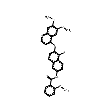 COc1cc2nccc(Oc3ccc4cc(NC(=O)c5ccccc5OC)ccc4c3F)c2cc1OC